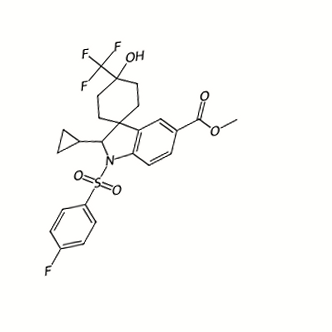 COC(=O)c1ccc2c(c1)C1(CCC(O)(C(F)(F)F)CC1)C(C1CC1)N2S(=O)(=O)c1ccc(F)cc1